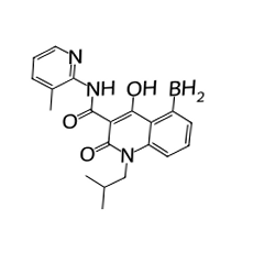 Bc1cccc2c1c(O)c(C(=O)Nc1ncccc1C)c(=O)n2CC(C)C